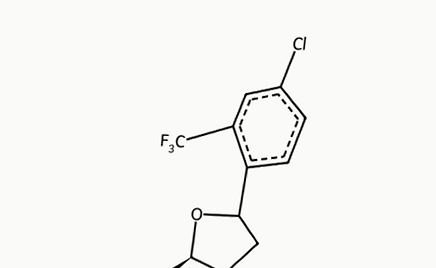 CC[C@@H]1CCC(c2ccc(Cl)cc2C(F)(F)F)O1